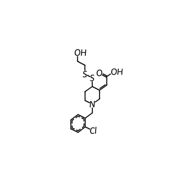 O=C(O)/C=C1/CN(Cc2ccccc2Cl)CCC1SSCCO